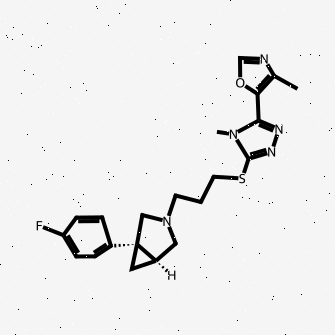 Cc1ncoc1-c1nnc(SCCCN2C[C@H]3C[C@@]3(c3ccc(F)cc3)C2)n1C